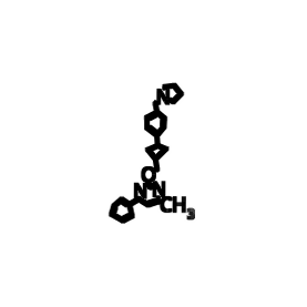 Cc1cc(-c2ccccc2)nc(OCC2CC(c3ccc(CN4CCCC4)cc3)C2)n1